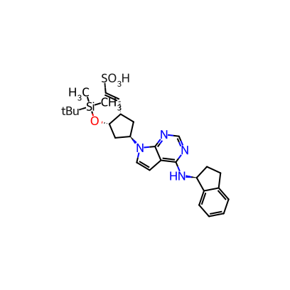 CC(C)(C)[Si](C)(C)O[C@H]1C[C@H](n2ccc3c(N[C@H]4CCc5ccccc54)ncnc32)C[C@H]1/C=C/S(=O)(=O)O